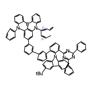 C=C/C=C(\C=C/C)N1c2ccccc2B2c3ccccc3N(c3ccccc3)c3cc(-c4cccc(-c5cccc(-c6cccc(-c7nc(-c8ccccc8)nc(-c8ccccc8)n7)c6-n6c7ccccc7c7cc(C(C)(C)C)ccc76)c5)c4)cc1c32